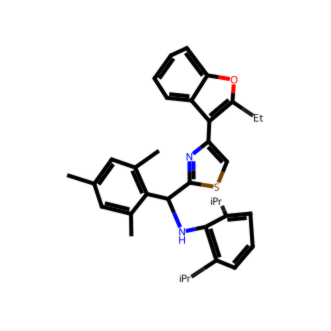 CCc1oc2ccccc2c1-c1csc(C(Nc2c(C(C)C)cccc2C(C)C)c2c(C)cc(C)cc2C)n1